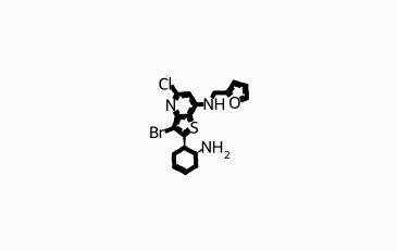 N[C@@H]1CC=CC[C@H]1c1sc2c(NCc3ccco3)cc(Cl)nc2c1Br